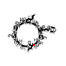 C/C=C/C[C@@H](C)[C@@H](O)[C@@H]1C(=O)N[C@H](CC)C(=O)N(C)[C@H](CS(=O)(=O)CCC[N+]2([O-])CCOCC2)C(=O)N(C)[C@@H](CC(C)C)C(=O)N[C@H](C(C)C)C(=O)N(C)[C@@H]2CC(C)N(C2=O)[C@H](C)C(=O)N[C@@H](C)C(=O)N(C)[C@H](CC(C)C)C(=O)N(C)[C@H](CC(C)C)C(=O)N(C)[C@H](C(C)C)C(=O)N1C